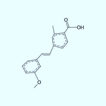 COc1cccc(C=Cc2ccc(C(=O)O)c(C)c2)c1